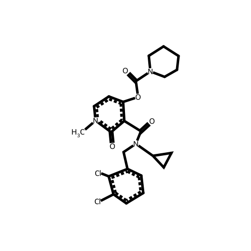 Cn1ccc(OC(=O)N2CCCCC2)c(C(=O)N(Cc2cccc(Cl)c2Cl)C2CC2)c1=O